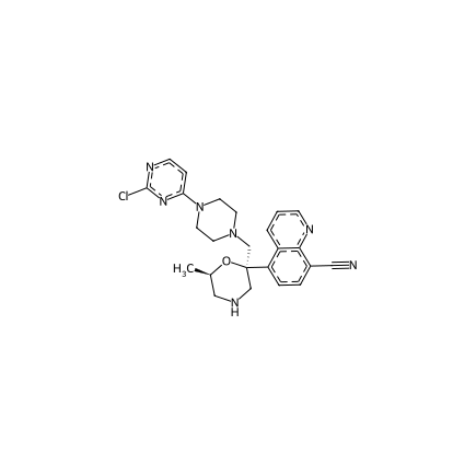 C[C@@H]1CNC[C@](CN2CCN(c3ccnc(Cl)n3)CC2)(c2ccc(C#N)c3ncccc23)O1